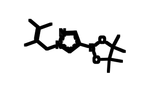 CC(C)=C(C)Cn1cc(B2OC(C)(C)C(C)(C)O2)cn1